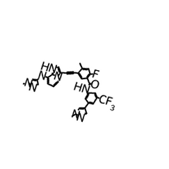 Cc1cc(F)c(C(=O)Nc2cc(-c3cnn(C)c3)cc(C(F)(F)F)c2)cc1C#Cc1cnc2c(Nc3cnn(C)c3)cccn12